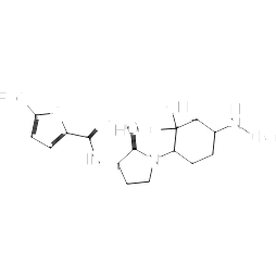 CC(C)(C)NC1CCC(N2CC[C@H](NC(=O)c3ccc(C(F)(F)F)o3)C2=O)C(C)(C(=O)O)C1